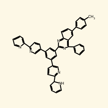 Cc1ccc(-c2ccc3nc(-c4cc(-c5ccc(-c6ccccn6)nc5)cc(-c5ccc(C6C=CC=CN6)nc5)c4)nc(-c4ccccc4)c3c2)cc1